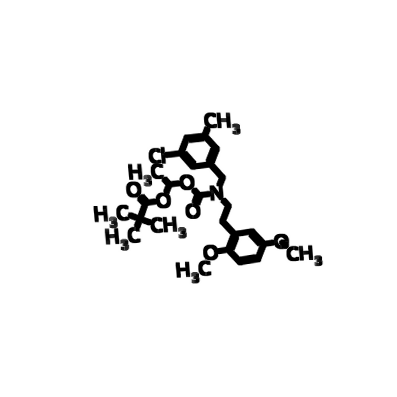 COc1ccc(OC)c(CCN(Cc2cc(C)cc(Cl)c2)C(=O)OC(C)OC(=O)C(C)(C)C)c1